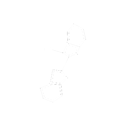 Cc1c(-c2cn3ccccc3n2)nc2ccccn12